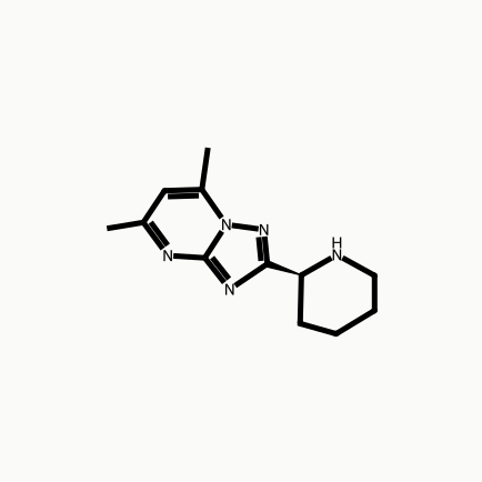 Cc1cc(C)n2nc([C@@H]3CCCCN3)nc2n1